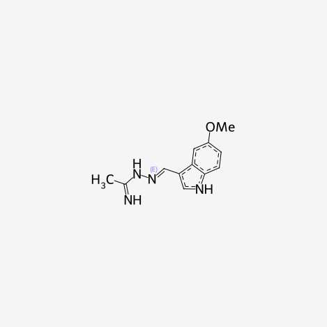 COc1ccc2[nH]cc(/C=N/NC(C)=N)c2c1